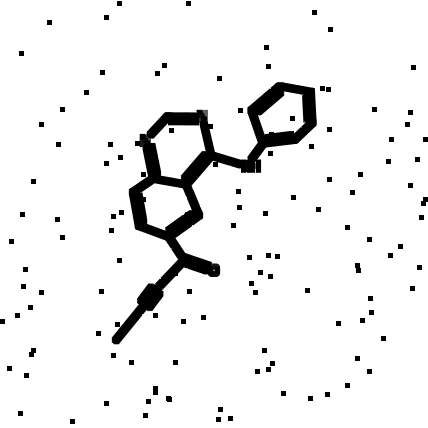 CC#CC(=O)c1ccc2ncnc(Nc3ccccc3)c2c1